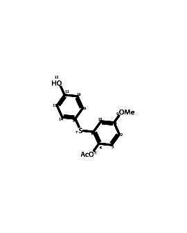 COc1ccc(OC(C)=O)c(Sc2ccc(O)cc2)c1